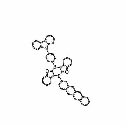 c1ccc2cc3cc4cc(B5c6oc7ccccc7c6B(c6ccc(-n7c8ccccc8c8ccccc87)cc6)c6oc7ccccc7c65)ccc4cc3cc2c1